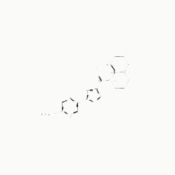 COc1ccc(-c2cc(C(=O)N3CCCC4CCCC=C43)cs2)cn1